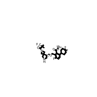 CC(C)(C)OC(=O)c1c(C2CCC(F)(F)CC2)ccc(F)c1COC[C@@H]1CNCC12CN(C(=O)C(C)(C)C(F)(F)F)C2